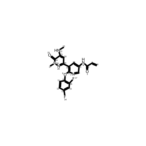 C=CC(=O)Nc1cnc(Oc2ccc(F)cc2F)c(-c2cc(NC)c(=O)n(C)n2)c1